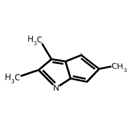 CC1=[C]C2=C(C)C(C)=NC2=C1